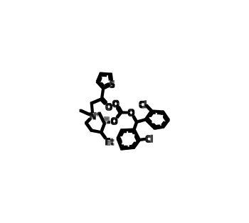 CCC1CC[N+](C)(CC(=O)c2cccs2)C[C@@H]1OC(=O)OC(c1ccccc1Cl)c1ccccc1Cl